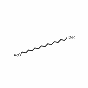 CCCCCCCCCCCCCCCCCCCCCCC[CH]OC(C)=O